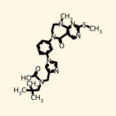 CSc1ncc2c(n1)N(C)CCN(c1cccc(-n3cnc(CN(CC(C)(C)C)C(=O)O)c3)c1)C2=O